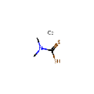 CN(C)C(=S)S.[Ce]